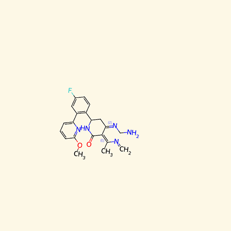 C=N/C(C)=C1/C(=O)NC(c2ccc(F)cc2-c2cccc(OC)n2)C/C1=N/CN